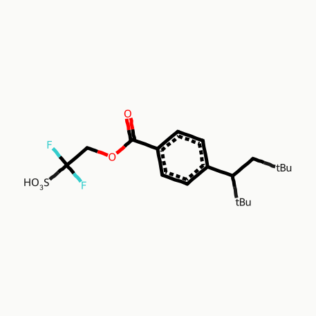 CC(C)(C)CC(c1ccc(C(=O)OCC(F)(F)S(=O)(=O)O)cc1)C(C)(C)C